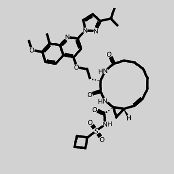 COc1ccc2c(OCC[C@@H]3NC(=O)CCCCC/C=C\[C@@H]4C[C@@]4(C(=O)NS(=O)(=O)C4CCC4)NC3=O)cc(-n3ccc(C(C)C)n3)nc2c1C